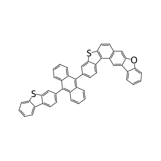 c1ccc2c(c1)oc1cc3ccc4sc5cc(-c6c7ccccc7c(-c7ccc8c(c7)sc7ccccc78)c7ccccc67)ccc5c4c3cc12